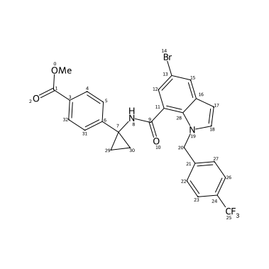 COC(=O)c1ccc(C2(NC(=O)c3cc(Br)cc4ccn(Cc5ccc(C(F)(F)F)cc5)c34)CC2)cc1